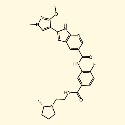 COc1nn(C)cc1-c1cc2cc(C(=O)Nc3cc(C(=O)NCCN4CCC[C@@H]4C)ccc3F)cnc2[nH]1